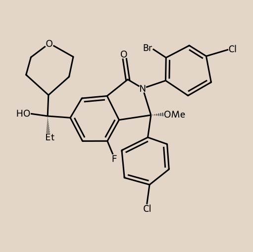 CC[C@@](O)(c1cc(F)c2c(c1)C(=O)N(c1ccc(Cl)cc1Br)[C@@]2(OC)c1ccc(Cl)cc1)C1CCOCC1